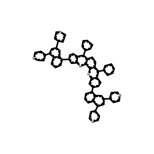 c1ccc(-c2c3ccc(-c4cccc5c(-c6ccncc6)cc(-c6ccncc6)cc45)cc3nc3c2ccc2c(-c4ccccc4)c4ccc(-c5cccc6c(-c7ccncc7)cc(-c7ccncc7)cc56)cc4nc23)cc1